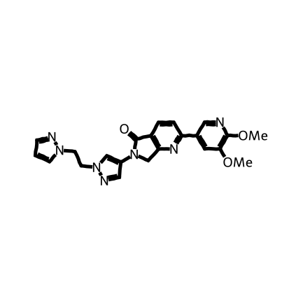 COc1cc(-c2ccc3c(n2)CN(c2cnn(CCn4cccn4)c2)C3=O)cnc1OC